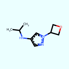 CC(C)Nc1cnn(C2COC2)c1